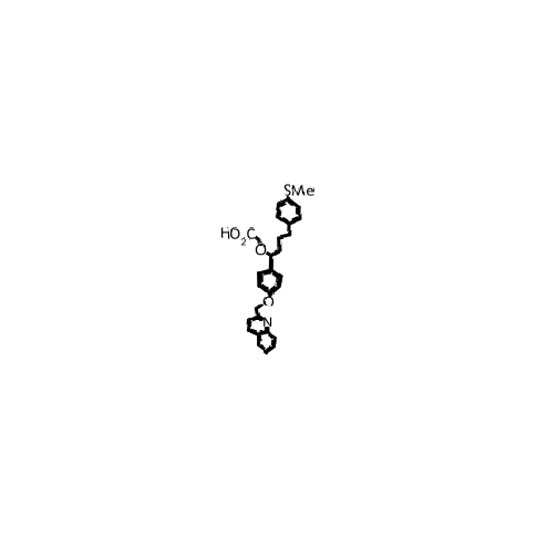 CSc1ccc(CCCC(OCC(=O)O)c2ccc(OCc3ccc4ccccc4n3)cc2)cc1